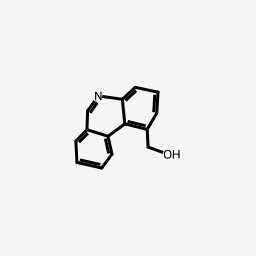 OCc1cccc2ncc3ccccc3c12